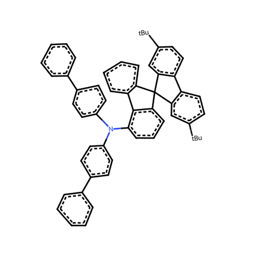 CC(C)(C)c1ccc2c(c1)C1(c3cc(C(C)(C)C)ccc3-2)c2ccccc2-c2c(N(c3ccc(-c4ccccc4)cc3)c3ccc(-c4ccccc4)cc3)cccc21